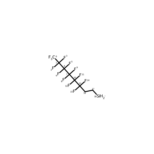 FC(F)(F)C(F)(F)C(F)(F)C(F)(F)C(F)(F)C(F)(F)CC[SiH2]